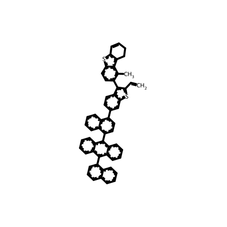 C=Cc1sc2cc(-c3ccc(-c4c5ccccc5c(-c5cccc6ccccc56)c5ccccc45)c4ccccc34)ccc2c1-c1ccc2sc3c(c2c1C)CCC=C3